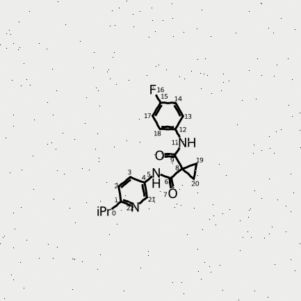 CC(C)c1ccc(NC(=O)C2(C(=O)Nc3ccc(F)cc3)CC2)cn1